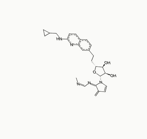 C=C1C=CN([C@@H]2O[C@H](CCc3ccc4ccc(NCC5CC5)nc4c3)[C@@H](O)[C@H]2O)/C1=N/C=N\C